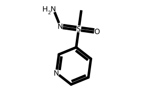 CS(=O)(=NN)c1cccnc1